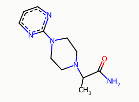 CC(C(N)=O)N1CCN(c2ncccn2)CC1